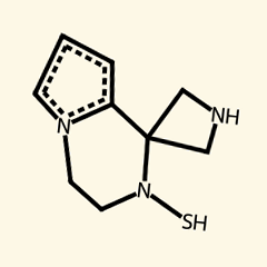 SN1CCn2cccc2C12CNC2